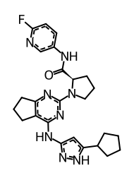 O=C(Nc1ccc(F)nc1)[C@H]1CCCN1c1nc2c(c(Nc3cc(C4CCCC4)[nH]n3)n1)CCC2